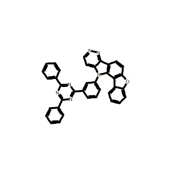 c1ccc(-c2nc(-c3ccccc3)nc(-c3cccc(-n4c5ccnnc5c5ccc6oc7ccccc7c6c54)c3)n2)cc1